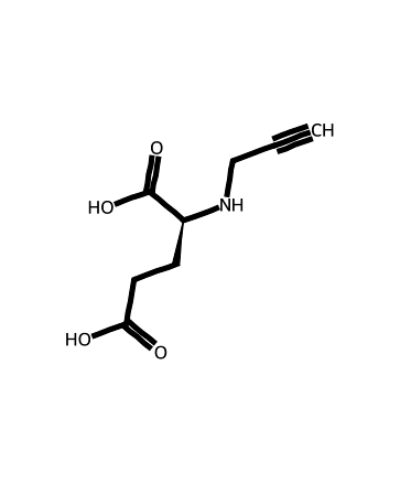 C#CCN[C@@H](CCC(=O)O)C(=O)O